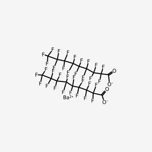 O=C([O-])C(F)(F)C(F)(F)C(F)(F)C(F)(F)C(F)(F)C(F)(F)C(F)(F)C(F)(F)F.O=C([O-])C(F)(F)C(F)(F)C(F)(F)C(F)(F)C(F)(F)C(F)(F)C(F)(F)C(F)(F)F.[Ba+2]